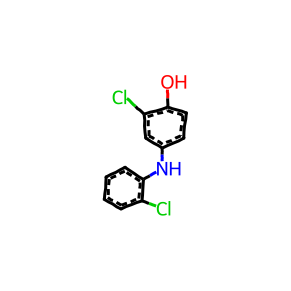 Oc1ccc(Nc2ccccc2Cl)cc1Cl